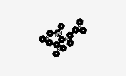 c1ccc(-c2cc(-c3cccc(-n4c5ccccc5c5ccc(-c6ccc7c8ccccc8n(-c8ccccc8)c7c6)cc54)c3)nc(-c3cccc(-n4c5ccccc5c5cc(-c6ccc7c(c6)c6ccccc6n7-c6ccccc6)ccc54)c3)n2)cc1